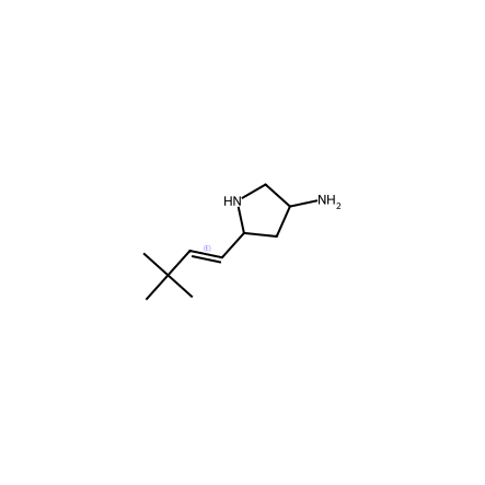 CC(C)(C)/C=C/C1CC(N)CN1